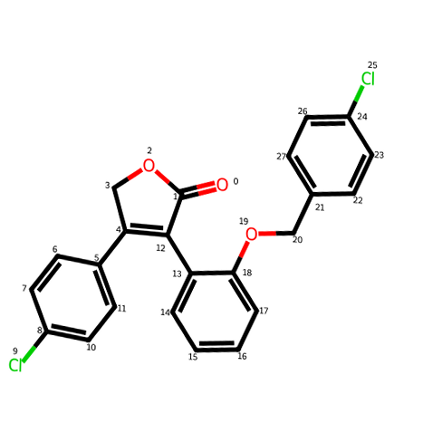 O=C1OCC(c2ccc(Cl)cc2)=C1c1ccccc1OCc1ccc(Cl)cc1